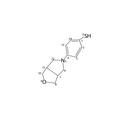 Sc1ccc(N2CC3COCC3C2)cc1